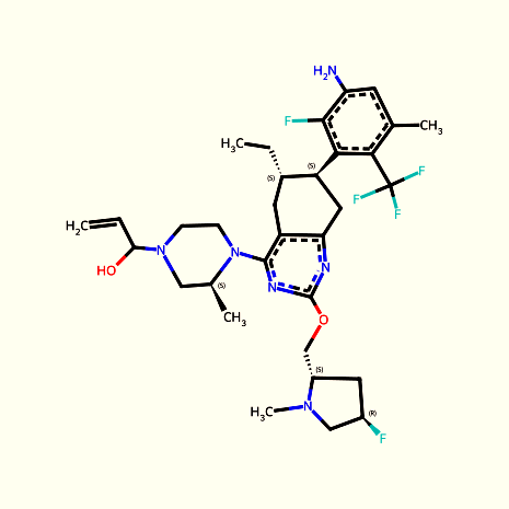 C=CC(O)N1CCN(c2nc(OC[C@@H]3C[C@@H](F)CN3C)nc3c2C[C@H](CC)[C@@H](c2c(F)c(N)cc(C)c2C(F)(F)F)C3)[C@@H](C)C1